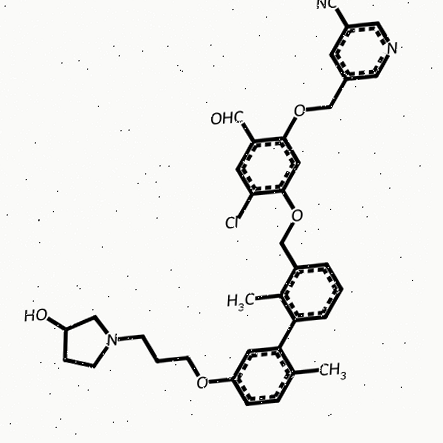 Cc1ccc(OCCCN2CCC(O)C2)cc1-c1cccc(COc2cc(OCc3cncc(C#N)c3)c(C=O)cc2Cl)c1C